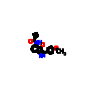 COc1ccc(C2=C3C(=O)c4c(NC(=O)C5=CC=C5)cccc4C3N=N2)cc1